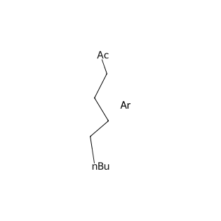 CCCCCCCCC(C)=O.[Ar]